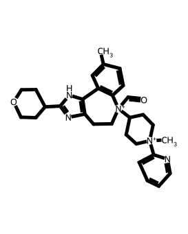 Cc1ccc2c(c1)-c1[nH]c(C3CCOCC3)nc1CC[N+]2(C=O)C1CC[N+](C)(c2ccccn2)CC1